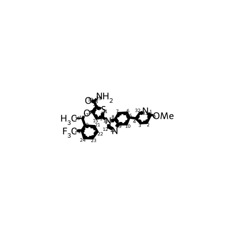 COc1ccc(-c2ccc3c(c2)ncn3-c2cc(O[C@H](C)c3ccccc3C(F)(F)F)c(C(N)=O)s2)cn1